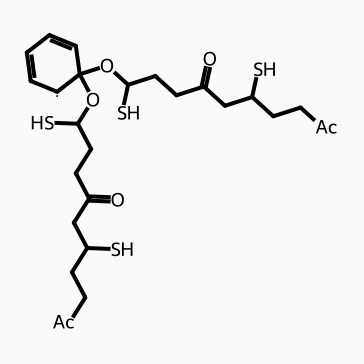 CC(=O)CCC(S)CC(=O)CCC(S)OC1(OC(S)CCC(=O)CC(S)CCC(C)=O)[CH]C=CC=C1